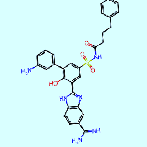 N=C(N)c1ccc2[nH]c(-c3cc(S(=O)(=O)NC(=O)CCCc4ccccc4)cc(-c4cccc(N)c4)c3O)nc2c1